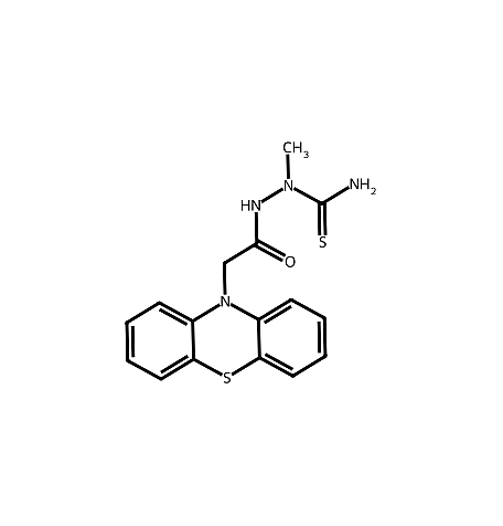 CN(NC(=O)CN1c2ccccc2Sc2ccccc21)C(N)=S